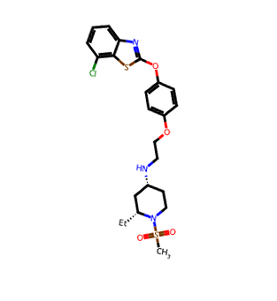 CC[C@@H]1C[C@H](NCCOc2ccc(Oc3nc4cccc(Cl)c4s3)cc2)CCN1S(C)(=O)=O